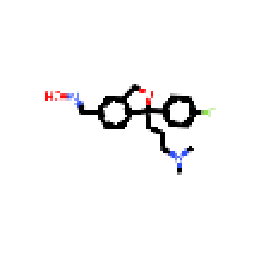 CN(C)CCCC1(c2ccc(F)cc2)OCc2cc(C=NO)ccc21